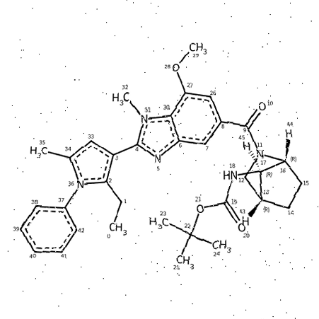 CCc1c(-c2nc3cc(C(=O)N4C[C@H]5CC[C@@H]4[C@@H]5NC(=O)OC(C)(C)C)cc(OC)c3n2C)cc(C)n1-c1ccccc1